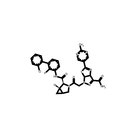 Cc1ncc(C2=NC3C(C(N)=O)=NN(CC(=O)N4CC5C[C@@H]5[C@H]4C(=O)Nc4cccc(-c5ccccc5Cl)c4F)C3S2)cn1